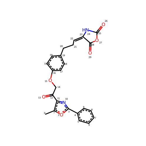 Cc1oc(-c2ccccc2)nc1C(=O)COc1ccc(CCC=C2NC(=O)OC2=O)cc1